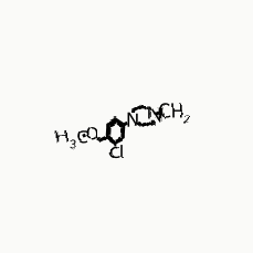 [CH2]N1CCN(c2ccc(COC)c(Cl)c2)CC1